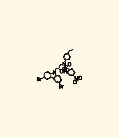 CCc1ccc(N(CC(O)Cn2c3ccc(Br)cc3c3cc(Br)ccc32)S(=O)(=O)c2ccc([N+](=O)[O-])cc2)cc1